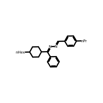 CCCCCCC1CCC(C(=NN=Cc2ccc(CCC)cc2)c2ccccc2)CC1